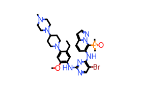 CCc1cc(Nc2ncc(Br)c(Nc3ccc4ccnn4c3P(C)(C)=O)n2)c(OC)cc1N1CCC(N2CCN(C)CC2)CC1